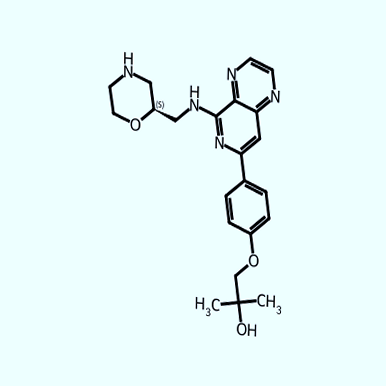 CC(C)(O)COc1ccc(-c2cc3nccnc3c(NC[C@@H]3CNCCO3)n2)cc1